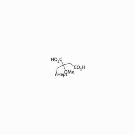 CCCCCCCCC(CC(=O)O)(OC)C(=O)O